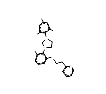 Cc1cc(C)c(N2CCN(c3c(C)cccc3OCCc3ccccn3)C2)c(C)c1